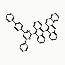 c1ccc(-c2ccc(-c3cc(-c4ccccc4)nc(-c4c5ccccc5c(-c5c6ccccc6cc6c5ccc5ccccc56)c5ccccc45)n3)cc2)cc1